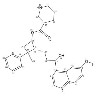 COc1ccc2nccc(C(O)CC[C@H]3C(OC(=O)C4CCCNC4)CC3(C)c3ccccc3)c2c1